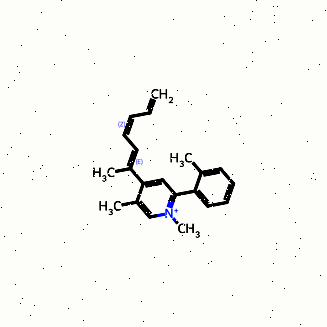 C=C/C=C\C=C(/C)c1cc(-c2ccccc2C)[n+](C)cc1C